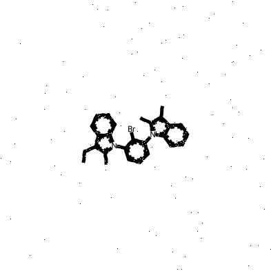 CCc1c(C)n(-c2cccc(-n3c(C)c(C)c4ccccc43)c2Br)c2ccccc12